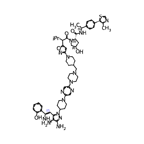 Cc1ncsc1-c1ccc([C@H](C)NC(=O)[C@@H]2C[C@@H](O)CN2C(=O)C(c2cc(N3CCC(CN4CCN(c5cnc(N6CCC(n7nc(N)c(N)c7/C=C(\N)c7ccccc7O)CC6)cn5)CC4)CC3)no2)C(C)C)cc1